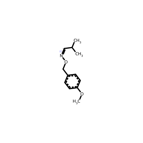 COc1ccc(CO/N=[C]\C(C)C)cc1